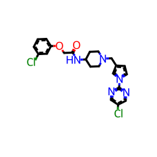 O=C(COc1cccc(Cl)c1)NC1CCN(Cc2ccn(-c3ncc(Cl)cn3)c2)CC1